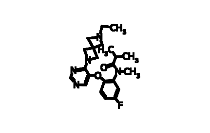 CCN1CC2(C1)CN(c1ncncc1Oc1ccc(F)cc1N(C)C(=O)C(C)C)C2